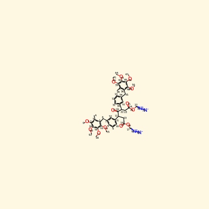 COc1c(C)c(Cc2cccc(C(CC(=O)OC=[N+]=[N-])C(=O)C(CC(=O)OC=[N+]=[N-])c3cccc(Cc4c(C)c(OC)c(OC)c(OC)c4OC)c3)c2)c(OC)c(OC)c1OC